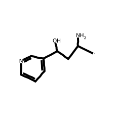 [CH2]C(N)CC(O)c1cccnc1